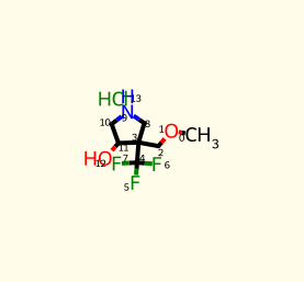 COCC1(C(F)(F)F)CNCC1O.Cl